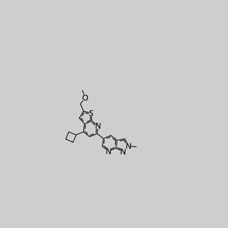 COCc1cc2c(C3CCC3)cc(-c3cnc4nn(C)cc4c3)nc2s1